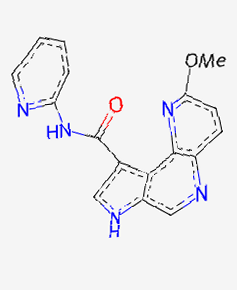 COc1ccc2ncc3[nH]cc(C(=O)Nc4ccccn4)c3c2n1